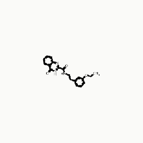 CCOc1cccc(CCNC(=O)c2nc3ccccc3c(=O)[nH]2)c1